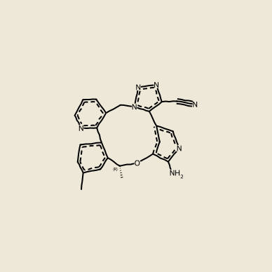 Cc1ccc2c(c1)[C@@H](C)Oc1cc(cnc1N)-c1c(C#N)nnn1Cc1cccnc1-2